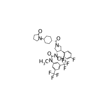 CN(C(=O)N(C)[C@@H]1CN(C(=O)[C@H]2CC[C@H](N3CCCC3=O)CC2)C[C@H]1c1ccc(F)cc1)c1cc(C(F)(F)F)cc(C(F)(F)F)c1